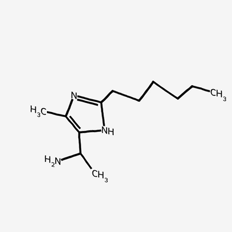 CCCCCCc1nc(C)c(C(C)N)[nH]1